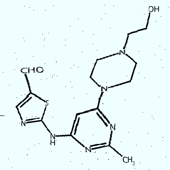 Cc1nc(Nc2ncc(C=O)s2)cc(N2CCN(CCO)CC2)n1